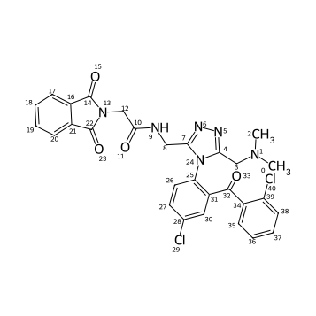 CN(C)Cc1nnc(CNC(=O)CN2C(=O)c3ccccc3C2=O)n1-c1ccc(Cl)cc1C(=O)c1ccccc1Cl